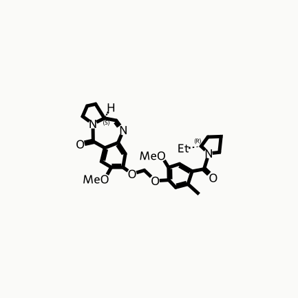 CC[C@@H]1CCCN1C(=O)c1cc(OC)c(OCOc2cc3c(cc2OC)C(=O)N2CCC[C@H]2C=N3)cc1C